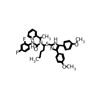 CCCCC(Sc1nc(-c2ccc(OC)cc2)c(-c2ccc(OC)cc2)[nH]1)N(C(=O)Nc1ccc(F)cc1F)C(C)c1ccccn1